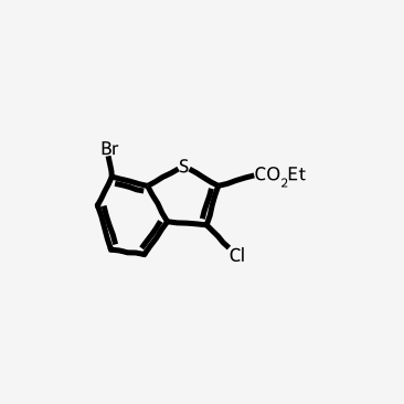 CCOC(=O)c1sc2c(Br)cccc2c1Cl